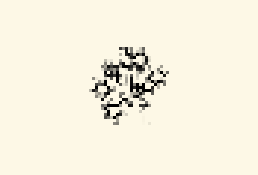 CCn1c(Cc2ccccc2)nnc1SCc1ccccc1.Cn1c(SCc2c(F)cccc2Cl)nnc1-c1ccncc1